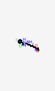 NC(CCCCCC(=O)c1ccon1)c1nc(Cl)c(-c2ccc(F)cc2)[nH]1